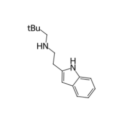 CC(C)(C)CNCCc1cc2ccccc2[nH]1